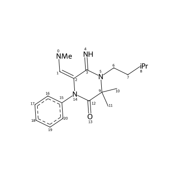 CN/C=C1\C(=N)N(CCC(C)C)C(C)(C)C(=O)N1c1ccccc1